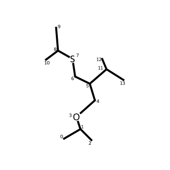 CC(C)OCC(CSC(C)C)C(C)C